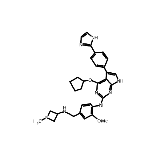 COc1cc(CNC2CN(C)C2)ccc1Nc1nc(OC2CCCC2)c2c(-c3ccc(-c4ncc[nH]4)cc3)c[nH]c2n1